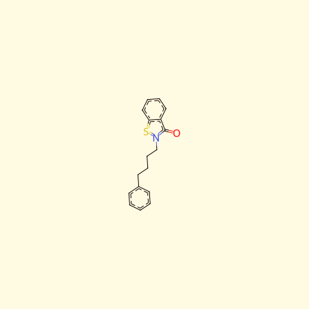 O=c1c2ccccc2sn1CCCCc1ccccc1